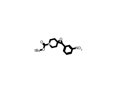 CC(C)(C)OC(=O)N1CCC2(CC1)OC2c1cccc([N+](=O)[O-])c1